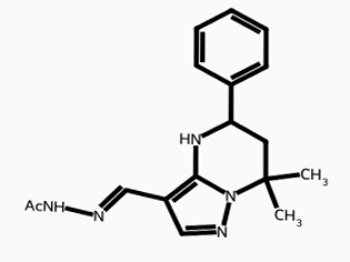 CC(=O)N/N=C/c1cnn2c1NC(c1ccccc1)CC2(C)C